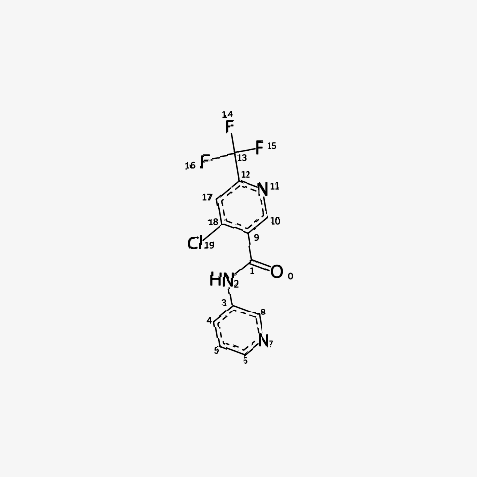 O=C(Nc1cccnc1)c1cnc(C(F)(F)F)cc1Cl